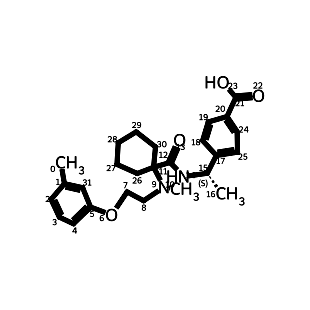 Cc1cccc(OCCN(C)C2(C(=O)N[C@@H](C)c3ccc(C(=O)O)cc3)CCCCC2)c1